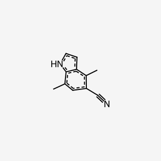 Cc1c(C#N)cc(C)c2[nH]ccc12